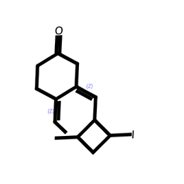 C/C=C1/CCC(=O)C/C1=C/C1C(C)CC1I